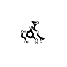 C(OCC1CO1)C1CO1.OCCO.Oc1cccc(O)c1